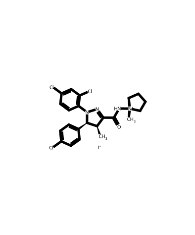 C[C@@H]1C(C(=O)N[N+]2(C)CCCC2)=NN(c2ccc(Cl)cc2Cl)[C@@H]1c1ccc(Cl)cc1.[I-]